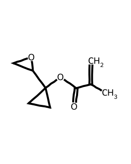 C=C(C)C(=O)OC1(C2CO2)CC1